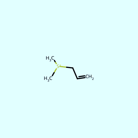 C=CC[S+](C)C